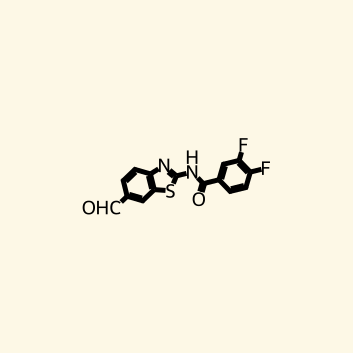 O=Cc1ccc2nc(NC(=O)c3ccc(F)c(F)c3)sc2c1